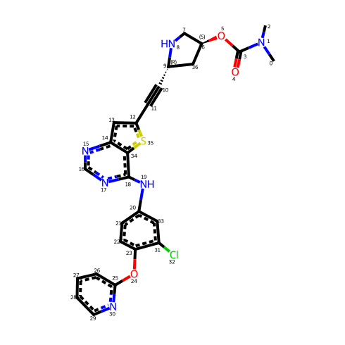 CN(C)C(=O)O[C@@H]1CN[C@@H](C#Cc2cc3ncnc(Nc4ccc(Oc5ccccn5)c(Cl)c4)c3s2)C1